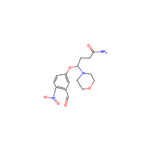 NC(=O)CCC(Oc1ccc([N+](=O)[O-])c(C=O)c1)N1CCOCC1